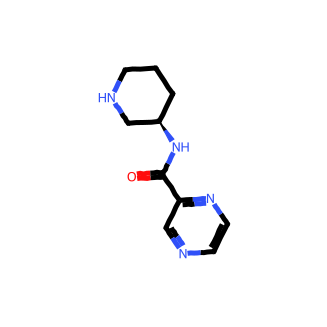 O=C(N[C@@H]1CCCNC1)c1cnccn1